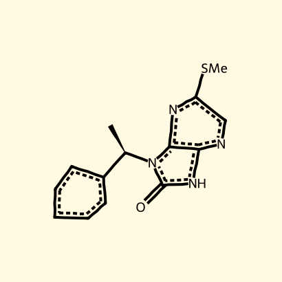 CSc1cnc2[nH]c(=O)n([C@H](C)c3ccccc3)c2n1